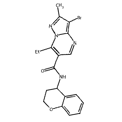 CCc1c(C(=O)NC2CCOc3ccccc32)cnc2c(Br)c(C)nn12